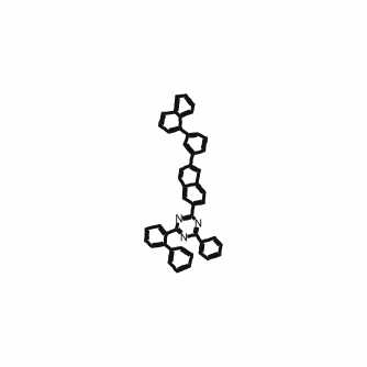 c1ccc(-c2nc(-c3ccc4cc(-c5cccc(-c6cccc7ccccc67)c5)ccc4c3)nc(-c3ccccc3-c3ccccc3)n2)cc1